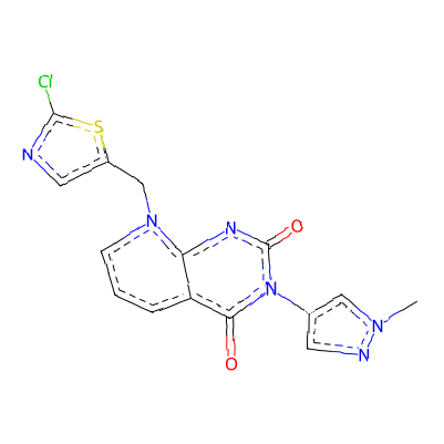 Cn1cc(-n2c(=O)nc3n(Cc4cnc(Cl)s4)cccc-3c2=O)cn1